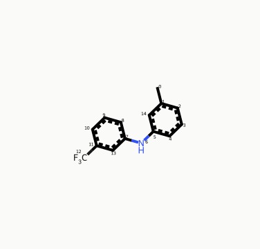 Cc1cccc(Nc2cccc(C(F)(F)F)c2)c1